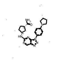 NC(=O)[C@H]1CC[C@@H](Nc2ncc3nnn(-c4ccc(N5CCCC5)cc4)c3n2)C1